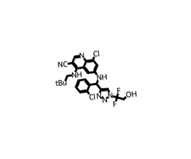 CC(C)(C)CNc1c(C#N)cnc2c(Cl)cc(NC(c3cn(C(F)(F)CO)nn3)c3ccccc3Cl)cc12